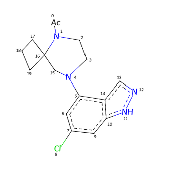 CC(=O)N1CCN(c2cc(Cl)cc3[nH]ncc23)CC12CCC2